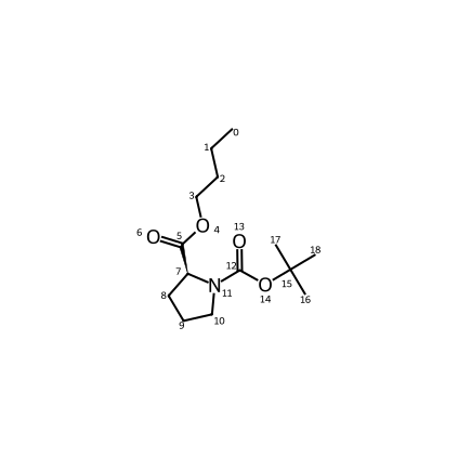 CCCCOC(=O)[C@@H]1CCCN1C(=O)OC(C)(C)C